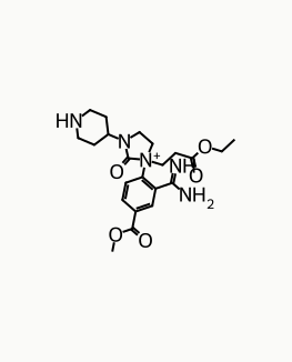 CCOC(=O)CC[N+]1(c2ccc(C(=O)OC)cc2C(=N)N)CCN(C2CCNCC2)C1=O